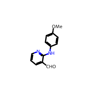 COc1ccc(Nc2ncccc2C=O)cc1